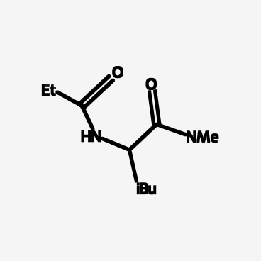 CCC(=O)NC(C(=O)NC)C(C)CC